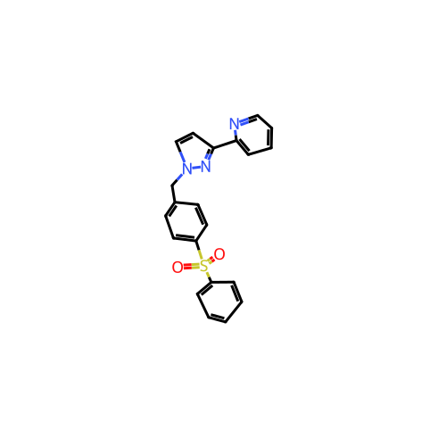 O=S(=O)(c1ccccc1)c1ccc(Cn2ccc(-c3ccccn3)n2)cc1